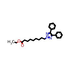 CCOC(=O)CCCCCCCCn1nc(-c2ccccc2)c(-c2ccccc2)n1